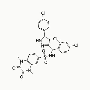 Cn1c(=O)c(=O)n(C)c2cc(S(=O)(=O)NC(C3=NNC(c4ccc(Cl)cc4)C3)c3ccc(Cl)cc3Cl)ccc21